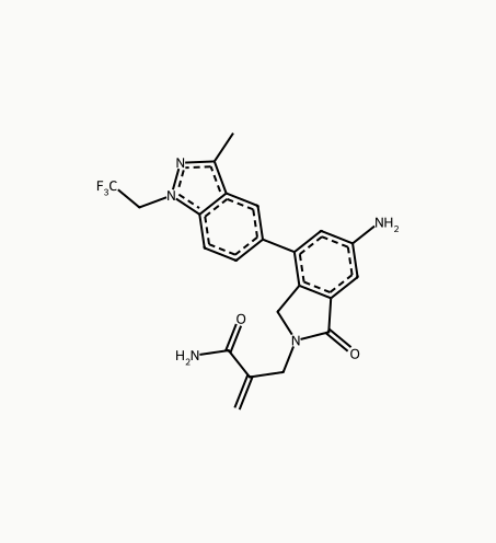 C=C(CN1Cc2c(cc(N)cc2-c2ccc3c(c2)c(C)nn3CC(F)(F)F)C1=O)C(N)=O